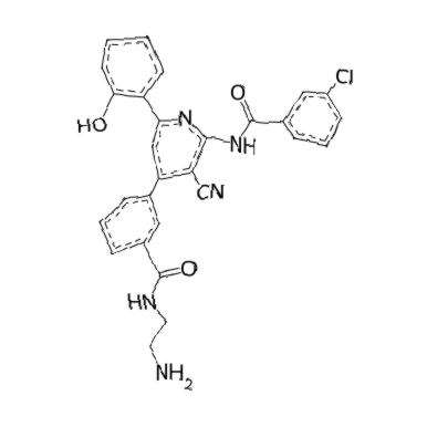 N#Cc1c(-c2cccc(C(=O)NCCN)c2)cc(-c2ccccc2O)nc1NC(=O)c1cccc(Cl)c1